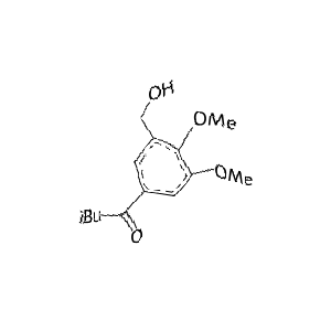 CCC(C)C(=O)c1cc(CO)c(OC)c(OC)c1